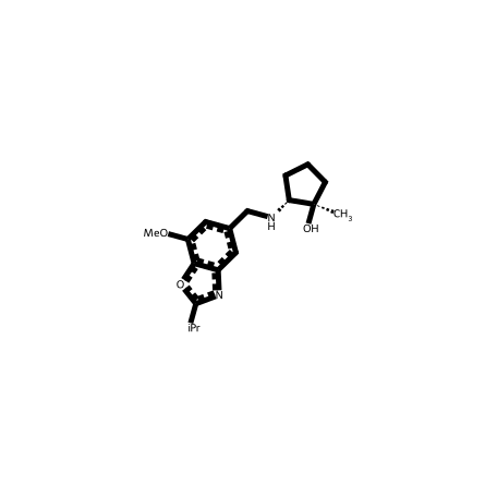 COc1cc(CN[C@@H]2CCC[C@@]2(C)O)cc2nc(C(C)C)oc12